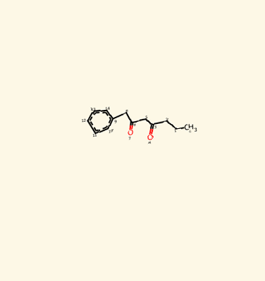 CCCC(=O)CC(=O)Cc1ccccc1